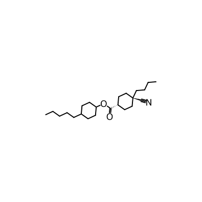 CCCCCC1CCC(OC(=O)[C@H]2CC[C@@](C#N)(CCCC)CC2)CC1